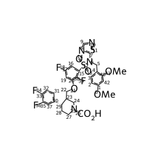 COc1ccc(CN(c2ncns2)S(=O)(=O)c2cc(F)cc(OCC3CN(C(=O)O)CC[C@@H]3c3ccc(F)c(F)c3)c2F)c(OC)c1